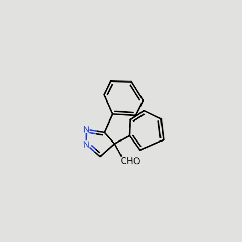 O=CC1(c2ccccc2)C=NN=C1c1ccccc1